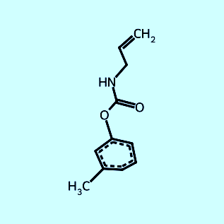 C=CCNC(=O)Oc1cccc(C)c1